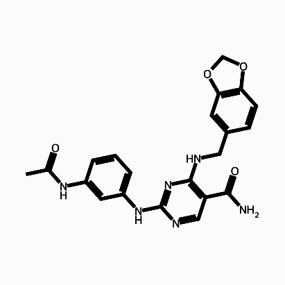 CC(=O)Nc1cccc(Nc2ncc(C(N)=O)c(NCc3ccc4c(c3)OCO4)n2)c1